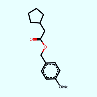 COc1ccc(COC(=O)CC2CCCC2)cc1